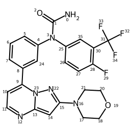 NC(=O)N(c1cccc(-c2ccnc3cc(N4CCOCC4)nn23)c1)c1ccc(F)c(C(F)(F)F)c1